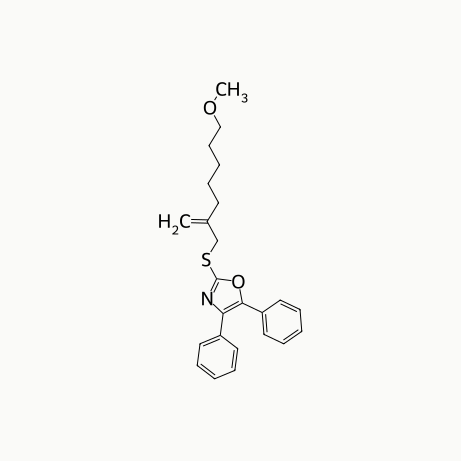 C=C(CCCCCOC)CSc1nc(-c2ccccc2)c(-c2ccccc2)o1